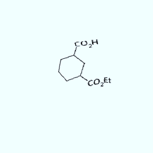 CCOC(=O)C1CCCC(C(=O)O)C1